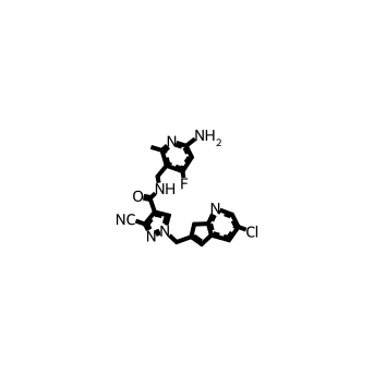 Cc1nc(N)cc(F)c1CNC(=O)c1cn(CC2=Cc3cc(Cl)cnc3C2)nc1C#N